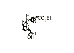 CCOC(=O)Cn1cc(Nc2ncc3ccn(CC(CC)CO)c3n2)cn1